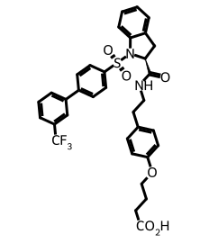 O=C(O)CCCOc1ccc(CCNC(=O)[C@@H]2Cc3ccccc3N2S(=O)(=O)c2ccc(-c3cccc(C(F)(F)F)c3)cc2)cc1